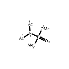 COP(=O)(SC)N(C(C)=O)C(C)=O